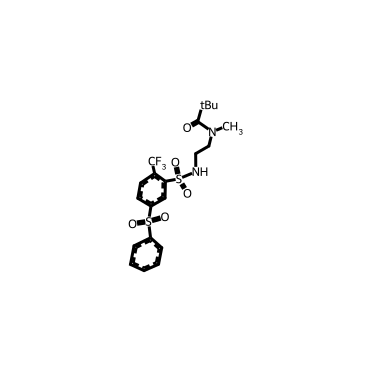 CN(CCNS(=O)(=O)c1cc(S(=O)(=O)c2ccccc2)ccc1C(F)(F)F)C(=O)C(C)(C)C